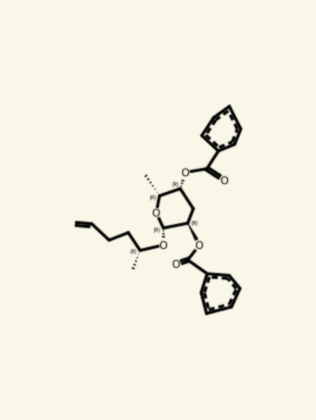 C=CCC[C@@H](C)O[C@@H]1O[C@H](C)[C@H](OC(=O)c2ccccc2)C[C@H]1OC(=O)c1ccccc1